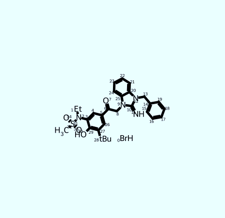 Br.CCN(c1cc(C(=O)Cn2c(=N)n(Cc3ccccc3)c3ccccc32)cc(C(C)(C)C)c1O)S(C)(=O)=O